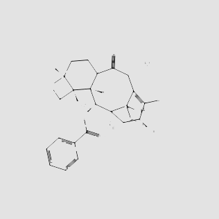 CO[C@H]1C(=O)[C@]2(C)CC[C@H]3OC[C@@]3(OC(C)=O)[C@H]2[C@H](OC(=O)c2ccccc2)[C@]2(O)C[C@H](O)C(C)=C1C2(C)C